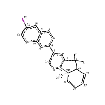 CC1(C)c2cc(-c3ccc4cc(I)ccc4c3)ccc2[C@@H]2C=CC=CC21